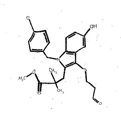 COC(=O)C(C)(C)Cc1c(SCCC=O)c2cc(O)ccc2n1Cc1ccc(Cl)cc1